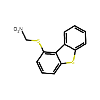 O=[N+]([O-])CSc1cccc2sc3ccccc3c12